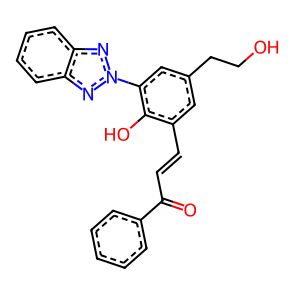 O=C(C=Cc1cc(CCO)cc(-n2nc3ccccc3n2)c1O)c1ccccc1